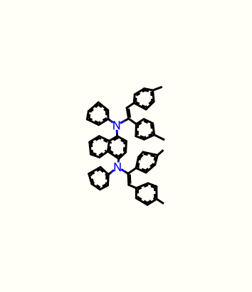 Cc1ccc(C=C(c2ccc(C)cc2)N(c2ccccc2)c2ccc(N(C(=Cc3ccc(C)cc3)c3ccc(C)cc3)c3ccccc3)c3ccccc23)cc1